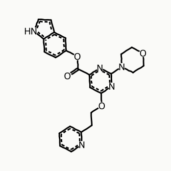 O=C(Oc1ccc2[nH]ccc2c1)c1cc(OCCc2ccccn2)nc(N2CCOCC2)n1